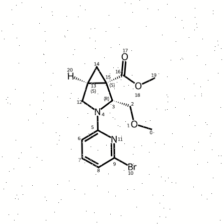 COC[C@@H]1N(c2cccc(Br)n2)C[C@H]2C[C@]21C(=O)OC